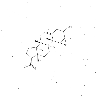 CC(=O)[C@H]1CC[C@H]2[C@@H]3CC=C4CC(O)C5OC5[C@]4(C)[C@H]3CC[C@]12C